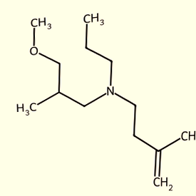 C=C(C)CCN(CCC)CC(C)COC